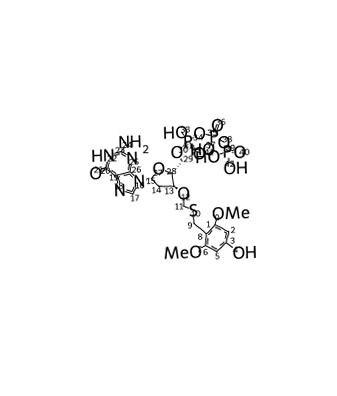 COc1cc(O)cc(OC)c1CSCO[C@H]1C[C@H](n2cnc3c(=O)[nH]c(N)nc32)O[C@@H]1COP(=O)(O)OP(=O)(O)OP(=O)(O)O